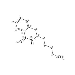 CCCCCC1Cc2ccccc2C(=O)N1